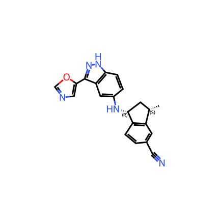 C[C@H]1C[C@@H](Nc2ccc3[nH]nc(-c4cnco4)c3c2)c2ccc(C#N)cc21